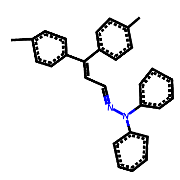 Cc1ccc(C(=CC=NN(c2ccccc2)c2ccccc2)c2ccc(C)cc2)cc1